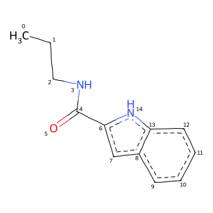 CCCNC(=O)c1cc2ccccc2[nH]1